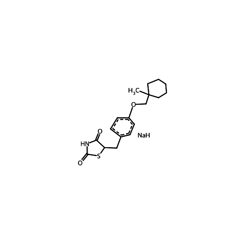 CC1(COc2ccc(CC3SC(=O)NC3=O)cc2)CCCCC1.[NaH]